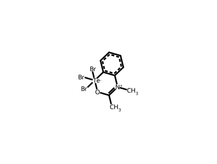 CC1=[N+](C)c2ccccc2[Te](Br)(Br)(Br)O1